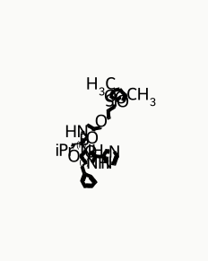 CC(C)C[C@H](NC(=O)[C@H](Cc1ccccc1)NC(=O)c1cnccn1)B1NCC(COCCC[Si]23OC(C)C(O2)C(C)O3)O1